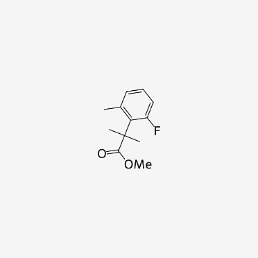 COC(=O)C(C)(C)c1c(C)cccc1F